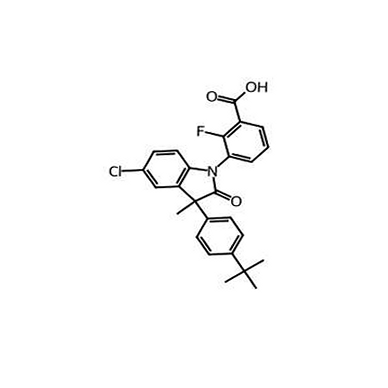 CC(C)(C)c1ccc(C2(C)C(=O)N(c3cccc(C(=O)O)c3F)c3ccc(Cl)cc32)cc1